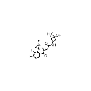 CC1(O)CC(NC(=O)CN2C[C@@]3(C[C@H]3F)c3c(ccc(I)c3F)C2=O)C1